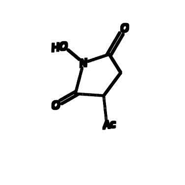 CC(=O)C1CC(=O)N(O)C1=O